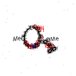 CO[C@H]1C[C@@H]2CC[C@@H](C)[C@@](O)(O2)C(=O)C(=O)N2CCCC[C@H]2C(=O)O[C@H]([C@H](C)C[C@@H]2CC[C@@H](OC(=O)C3(C)COC(c4ccccc4)(c4ccccc4)OC3)[C@H](OC)C2)CC(=O)[C@H](C)/C=C(\C)[C@@H](O)[C@@H](CO)C(=O)[C@H](C)C[C@H](C)/C=C/C=C/C=C/1C